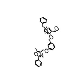 Cc1oc(-c2ccccc2)nc1COc1cccc(COc2nn(Cc3ccccc3)cc2C=O)c1